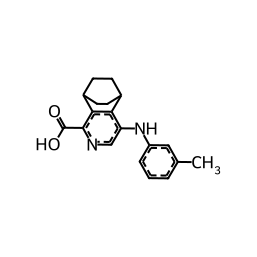 Cc1cccc(Nc2cnc(C(=O)O)c3c2C2CCC3CC2)c1